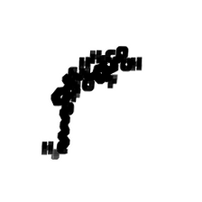 CCCCCCCOc1cccc(-c2csc(NC(=O)c3cc(F)c(/C=C(\C)C(=O)O)c(F)c3)n2)c1F